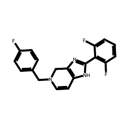 Fc1ccc(CN2C=Cc3[nH]c(-c4c(F)cccc4F)nc3C2)cc1